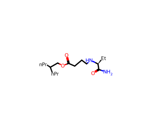 CCCC(CCC)COC(=O)CCCN[C@@H](CC)C(N)=O